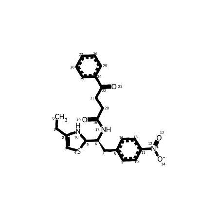 CCC1=CSC([C@H](Cc2ccc([N+](=O)[O-])cc2)NC(=O)CCC(=O)c2ccccc2)N1